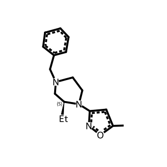 CC[C@H]1CN(Cc2ccccc2)CCN1c1cc(C)on1